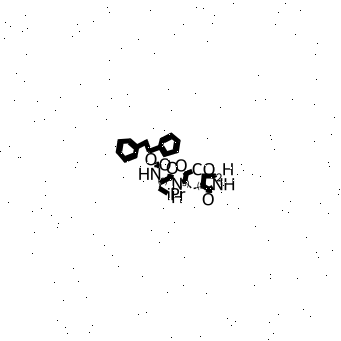 CC(C)C[C@H](NC(=O)OC(Cc1ccccc1)c1ccccc1)C(=O)N[C@@H](C[C@@H]1CCNC1=O)C(=O)C(=O)O